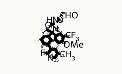 COc1ccc(C2(c3cccc(-c4cc(C)cnc4F)c3)COC(NOC=O)=N2)cc1C(F)(F)F